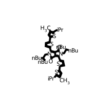 CCCCC(CCCC)CN1C(=O)C2=C(c3ccc(-c4cc(C)c(C(C)C)s4)s3)N(CC(CCCC)CCCC)C(=O)C2=C1c1ccc(-c2cc(C)c(C(C)C)s2)s1